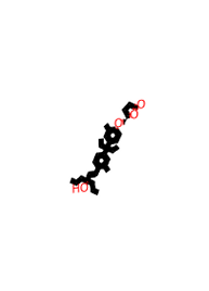 CCCC(O)(/C=C/c1ccc(C(CC)(CC)c2ccc(OC[C@@H]3CCC(=O)O3)c(C)c2)cc1C)CCC